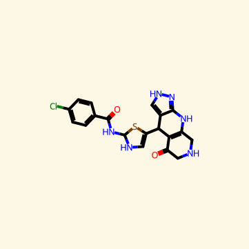 O=C1CNCC2=C1C(C1=CNC(NC(=O)c3ccc(Cl)cc3)S1)c1c[nH]nc1N2